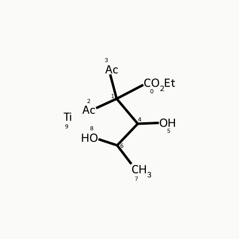 CCOC(=O)C(C(C)=O)(C(C)=O)C(O)C(C)O.[Ti]